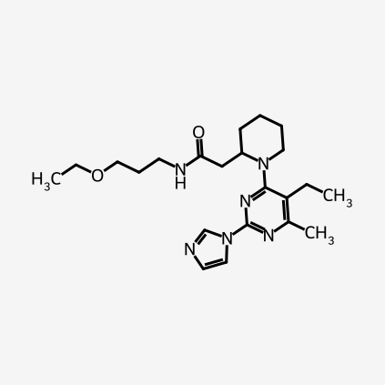 CCOCCCNC(=O)CC1CCCCN1c1nc(-n2ccnc2)nc(C)c1CC